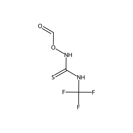 O=CONC(=S)NC(F)(F)F